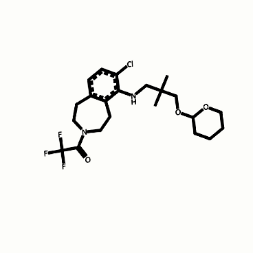 CC(C)(CNc1c(Cl)ccc2c1CCN(C(=O)C(F)(F)F)CC2)COC1CCCCO1